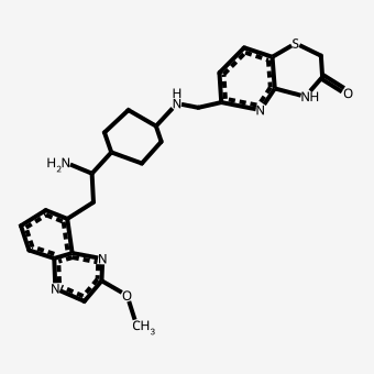 COc1cnc2cccc(CC(N)C3CCC(NCc4ccc5c(n4)NC(=O)CS5)CC3)c2n1